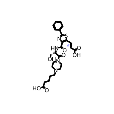 O=C(O)/C=C/c1sc(-c2ccccc2)nc1C(=O)N[C@@H](CO)C(=O)N1CCN(CCCCC(=O)O)CC1